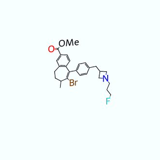 COC(=O)c1ccc2c(c1)CCC(C)C(Br)=C2c1ccc(CC2CN(CCCF)C2)cc1